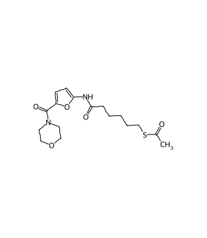 CC(=O)SCCCCCC(=O)Nc1ccc(C(=O)N2CCOCC2)o1